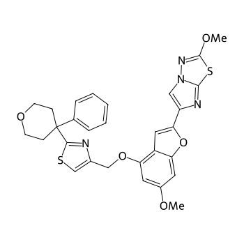 COc1cc(OCc2csc(C3(c4ccccc4)CCOCC3)n2)c2cc(-c3cn4nc(OC)sc4n3)oc2c1